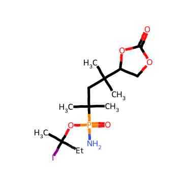 CCC(C)(I)OP(N)(=O)C(C)(C)CC(C)(C)C1COC(=O)O1